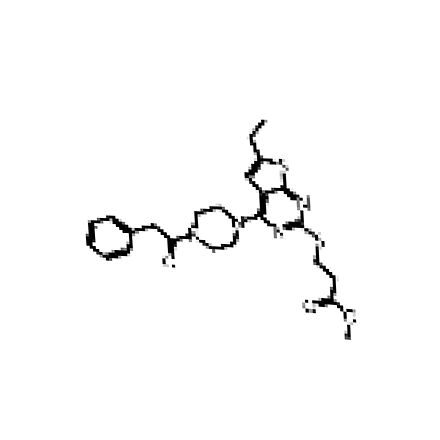 CCc1cc2c(N3CCN(C(=O)Cc4ccccc4)CC3)nc(SCCC(=O)OC)nc2s1